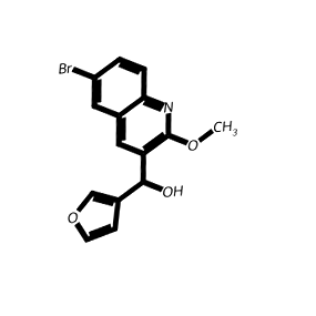 COc1nc2ccc(Br)cc2cc1C(O)c1ccoc1